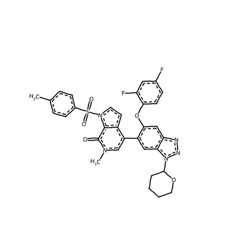 Cc1ccc(S(=O)(=O)n2ccc3c(-c4cc5c(cc4Oc4ccc(F)cc4F)nnn5C4CCCCO4)cn(C)c(=O)c32)cc1